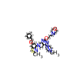 Cc1nc2c(N3CCc4c(nc(OCCCN5CCOCC5)nc4N4CCN(C)CC4)C3)cc(OCc3ccccc3)cc2s1